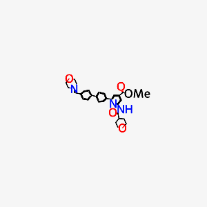 COC(=O)c1cc(NC(=O)C2CCOCC2)nc(-c2ccc(-c3ccc(CN4CCOCC4)cc3)cc2)c1